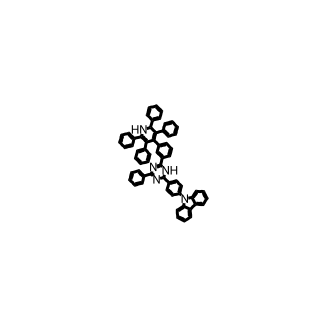 c1ccc(C2=NC(c3ccc(-n4c5ccccc5c5ccccc54)cc3)NC(c3cccc(C4=C(c5ccccc5)C(c5ccccc5)NC(c5ccccc5)=C4c4ccccc4)c3)=N2)cc1